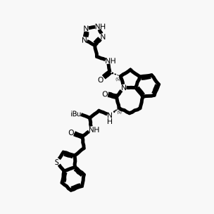 CCC(C)C(CN[C@H]1CCc2cccc3c2N(C1=O)[C@H](C(=O)NCc1nn[nH]n1)C3)NC(=O)Cc1csc2ccccc12